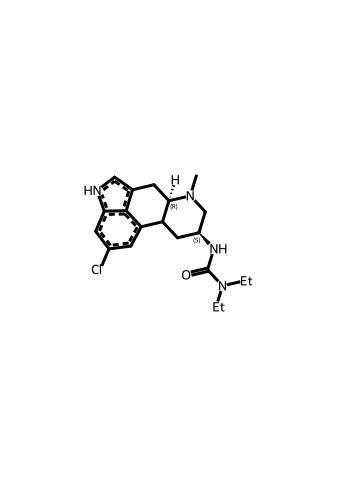 CCN(CC)C(=O)N[C@H]1CC2c3cc(Cl)cc4[nH]cc(c34)C[C@H]2N(C)C1